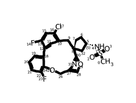 CS(=O)(=O)N[C@H]1CC[C@@]2(Cc3cc(c(F)cc3Cl)-c3cccc(F)c3OCc3coc2n3)C1